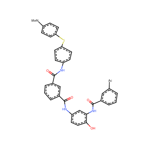 CNc1ccc(Sc2ccc(NC(=O)c3cccc(C(=O)Nc4ccc(O)c(NC(=O)c5cccc(C(C)=O)c5)c4)c3)cc2)cc1